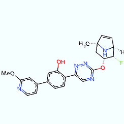 COc1cc(-c2ccc(-c3cnc(O[C@@H]4C[C@@]5(C)C=C[C@H](N5)[C@@H]4F)nn3)c(O)c2)ccn1